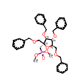 CCOP(=O)(C[C@@]1(COCc2ccccc2)O[C@H](COCc2ccccc2)[C@@H](OCc2ccccc2)[C@@H]1OCc1ccccc1)OCC